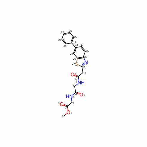 COC(=O)CNC(=O)CNC(=O)Cc1nc2ccc(-c3ccccc3)cc2s1